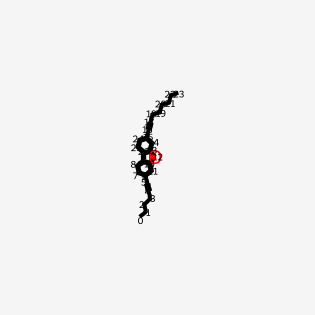 CCCCC#Cc1ccc2c(c1)oc1cc(C#CCCCCCC)ccc12